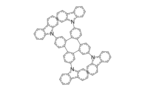 c1ccc2c(c1)c1ccccc1n2-c1ccc2c(c1)-c1cc(-n3c4ccccc4c4ccccc43)ccc1-c1ccc(-n3c4ccccc4c4ccccc43)cc1-c1cc(-n3c4ccccc4c4ccccc43)ccc1-2